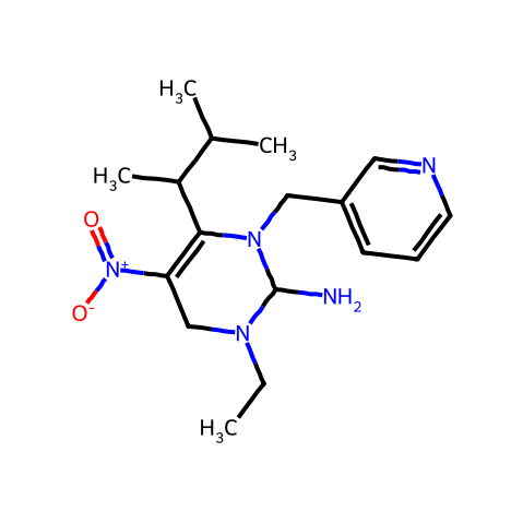 CCN1CC([N+](=O)[O-])=C(C(C)C(C)C)N(Cc2cccnc2)C1N